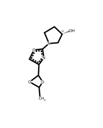 CC1OC(c2coc(N3CC[C@H](O)C3)n2)O1